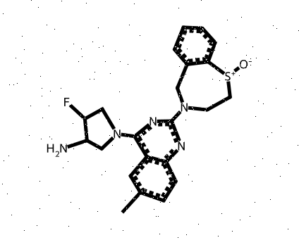 Cc1ccc2nc(N3CC[S+]([O-])c4ccccc4C3)nc(N3CC(N)C(F)C3)c2c1